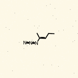 CC/C=C(\C)N=[N+]=[N-]